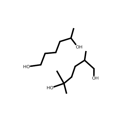 CC(CO)CCC(C)(C)O.CC(O)CCCCO